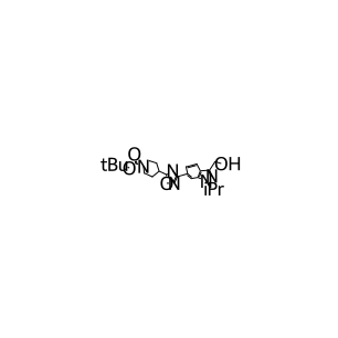 CC(C)n1nc(CO)c2ccc(-c3noc(C4CCN(C(=O)OC(C)(C)C)CC4)n3)cc21